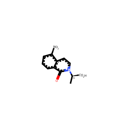 C[C@H](C(=O)O)n1ccc2c([N+](=O)[O-])cccc2c1=O